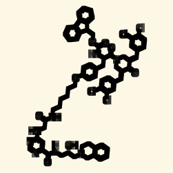 O=C(CNc1cc(C(=O)NC[C@H](O)CN2CCc3ccccc3C2)ncn1)NCCCCCCOc1ccc(CC(NC(=O)OCC2c3ccccc3-c3ccccc32)C(=O)N2C/C(=C\c3ccc(Cl)c(Cl)c3)C(=O)/C(=C/c3ccc(Cl)c(Cl)c3)C2)cc1